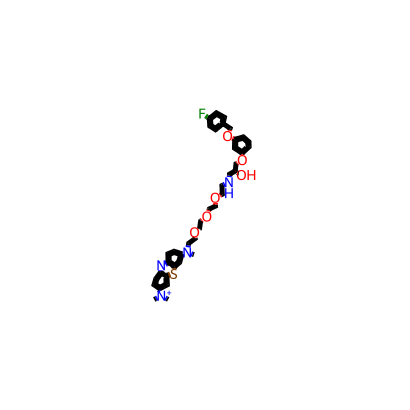 CN(CCOCCOCCOCCNC[C@@H](O)COc1cccc(OCc2ccc(F)cc2)c1)c1ccc2nc3ccc(=[N+](C)C)cc-3sc2c1